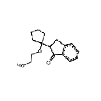 O=C1c2ccccc2CC1C1(OCCO)CCCC1